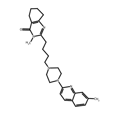 Cc1ccc2ccc(N3CCN(CCCCc4nc5c(c(=O)n4C)CCCC5)CC3)nc2c1